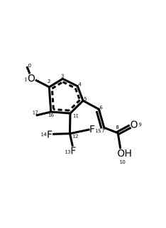 COc1ccc(C=CC(=O)O)c(C(F)(F)F)c1C